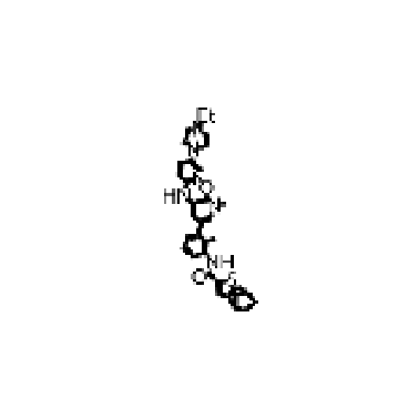 CCN1CCN(c2ccc(Nc3cc(-c4cccc(NC(=O)c5cc6c(s5)C5CCC6C5)c4C)cn(C)c3=O)nc2)CC1